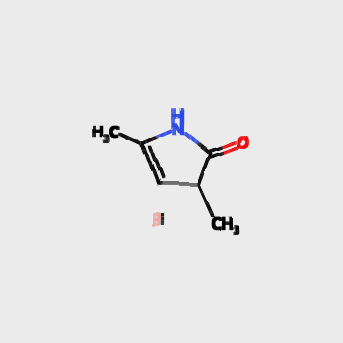 CC1=CC(C)C(=O)N1.[B]